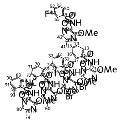 COc1nc(Br)cnc1NS(=O)(=O)c1ccccc1.COc1nc(Br)cnc1NS(=O)(=O)c1ccccc1I.COc1nc(C)cnc1NS(=O)(=O)c1cccc(F)c1.COc1nc(C)cnc1NS(=O)(=O)c1ccccc1C#N.COc1nc(C)cnc1NS(=O)(=O)c1ccccc1I